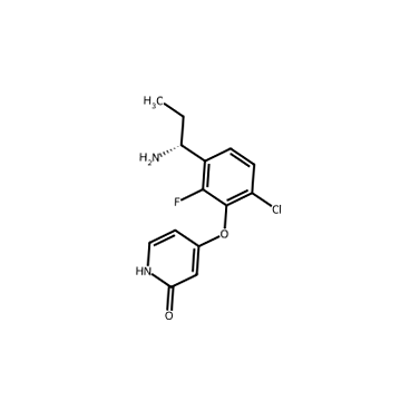 CC[C@@H](N)c1ccc(Cl)c(Oc2cc[nH]c(=O)c2)c1F